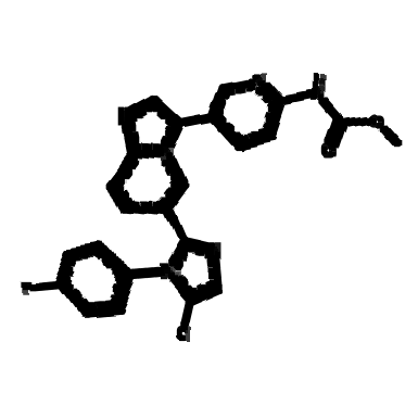 COC(=O)Nc1ccc(-c2cnc3ccc(-c4ncc(Cl)n4-c4ccc(F)cc4)cn23)cn1